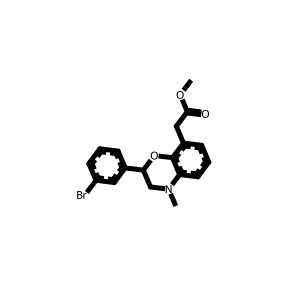 COC(=O)Cc1cccc2c1OC(c1cccc(Br)c1)CN2C